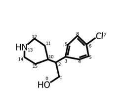 OCC(c1ccc(Cl)cc1)C1CCNCC1